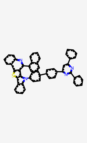 c1ccc(-c2cc(-c3ccc(-c4ccc(-n5c6ccccc6c6sc7c8ccccc8nc(-c8cccc9ccccc89)c7c65)cc4)cc3)nc(-c3ccccc3)n2)cc1